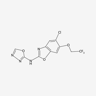 FC(F)(F)COc1cc2oc(Nc3nnco3)nc2cc1Cl